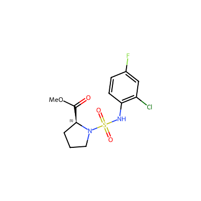 COC(=O)[C@@H]1CCCN1S(=O)(=O)Nc1ccc(F)cc1Cl